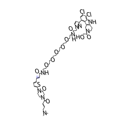 CN(C)CC=CC(=O)N1CCN(c2ccc(/C=C/C(=O)NCCOCCOCCOCCOCCOCCNC(=O)Cn3ccc(-c4cc(Cl)c(Cl)c5[nH]c6c(c45)CN(C(=O)CO)CC6)n3)s2)C(=O)C1